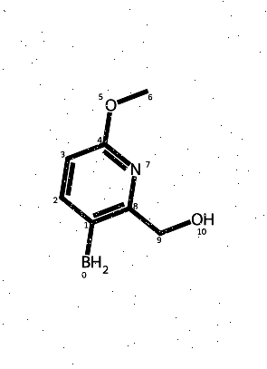 Bc1ccc(OC)nc1CO